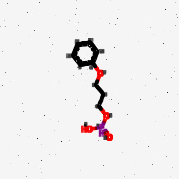 O=[PH](O)OCCCOc1ccccc1